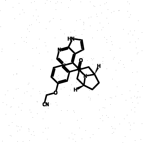 N#CCOc1cccc(C(=O)N2[C@@H]3CC[C@@H]2CN(c2ncnc4[nH]ccc24)C3)c1